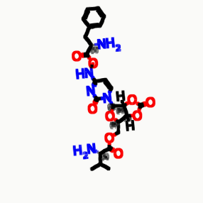 CC(C)[C@H](N)C(=O)OC[C@H]1O[C@@H](n2ccc(NOC(=O)[C@@H](N)Cc3ccccc3)nc2=O)[C@@H]2OC(=O)O[C@@H]21